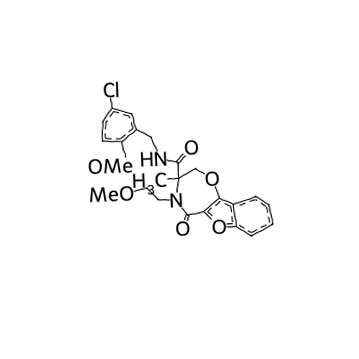 COCCN1C(=O)c2oc3ccccc3c2OCC1(C)C(=O)NCc1cc(Cl)ccc1OC